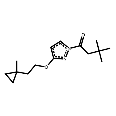 CC(C)(C)CC(=O)n1ccc(OCCC2(C)CC2)n1